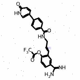 N=C(N)c1ccc(OC(=O)C(F)(F)F)c(/C=C/CNC(=O)c2ccc(-c3ccc(=O)[nH]c3)cc2)c1